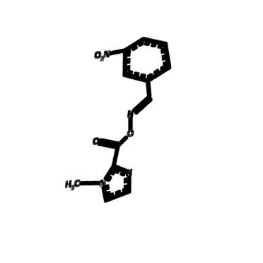 Cn1ccnc1C(=O)ON=Cc1cccc([N+](=O)[O-])c1